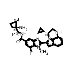 Cn1c(-c2cc3cccc4c3n2[C@H](C2CC2)CN4)nc2cc(C(=O)N[C@H](I)[C@]3(N)CC[C@H]3I)cc(F)c21